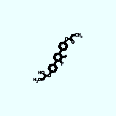 C=CC(=O)Oc1ccc(-c2ccc(-c3ccc(OC(O)C=C)cc3)c(F)c2F)cc1